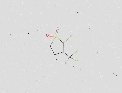 O=S1(=O)CCC(C(F)(F)F)C1F